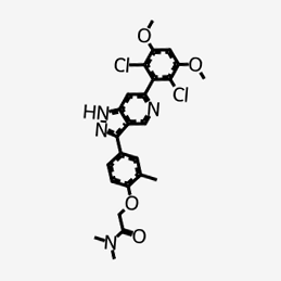 COc1cc(OC)c(Cl)c(-c2cc3[nH]nc(-c4ccc(OCC(=O)N(C)C)c(C)c4)c3cn2)c1Cl